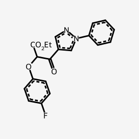 CCOC(=O)C(Oc1ccc(F)cc1)C(=O)c1cnn(-c2ccccc2)c1